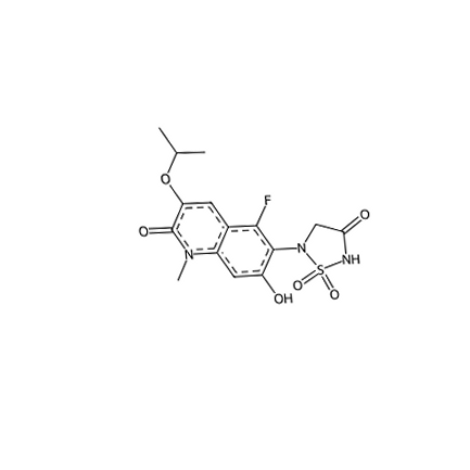 CC(C)Oc1cc2c(F)c(N3CC(=O)NS3(=O)=O)c(O)cc2n(C)c1=O